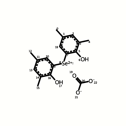 Cc1cc(C)c(O)c([Se+2]c2cc(C)cc(C)c2O)c1.O=C([O-])[O-]